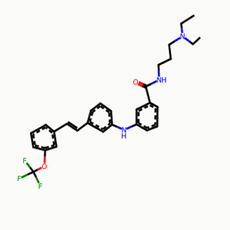 CCN(CC)CCCNC(=O)c1cccc(Nc2cccc(C=Cc3cccc(OC(F)(F)F)c3)c2)c1